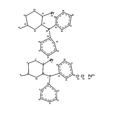 CC1CCC(C(C)C)C(P(c2ccccc2)c2ccccc2)C1.CC1CCC(C(C)C)C(P(c2ccccc2)c2ccccc2)C1.[Cl-].[Cl-].[Pd+2]